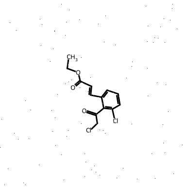 CCOC(=O)C=Cc1cccc(Cl)c1C(=O)CCl